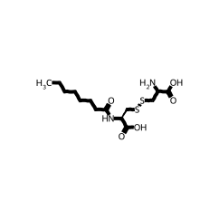 CCCCCCCC(=O)N[C@@H](CSSCC(N)C(=O)O)C(=O)O